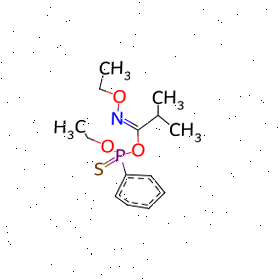 CCON=C(OP(=S)(OCC)c1ccccc1)C(C)C